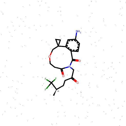 C[C@H](CCC(=O)CN1C(=O)CCOCC2(CC2)c2cc(N)ccc2C1=O)C(F)(F)F